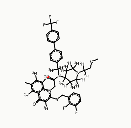 [2H]c1c(C)c([2H])c2c(=O)c([2H])c(SCc3cccc(F)c3F)n(CC(=O)N(C([2H])([2H])c3ccc(-c4ccc(C(F)(F)F)cc4)cc3)C3([2H])C([2H])([2H])C([2H])([2H])N(C([2H])([2H])COC)C([2H])([2H])C3([2H])[2H])c2c1[2H]